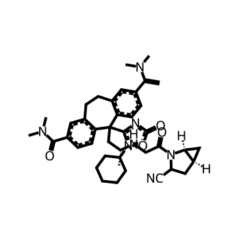 C=C(c1ccc2c(c1)CCc1cc(C(=O)N(C)C)ccc1C2(C[C@@H](C)NCC(=O)N1C(C#N)C[C@@H]2C[C@@H]21)c1nc(=O)on1C1CCCCC1)N(C)C